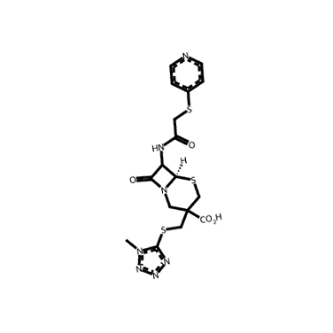 Cn1nnnc1SCC1(C(=O)O)CS[C@@H]2C(NC(=O)CSc3ccncc3)C(=O)N2C1